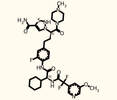 COc1cncc(C(F)(F)C(=O)N[C@H](C(=O)Nc2ccc(CC[C@H](C(=O)N3CCN(C)CC3)N3C=C(C(N)=O)SN3)cc2F)C2CCCCC2)c1